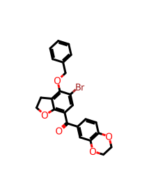 O=C(c1ccc2c(c1)OCCO2)c1cc(Br)c(OCc2ccccc2)c2c1OCC2